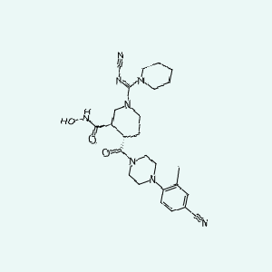 Cc1cc(C#N)ccc1N1CCN(C(=O)[C@H]2CCN(C(=NC#N)N3CCCCC3)C[C@@H]2C(=O)NO)CC1